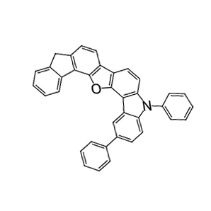 c1ccc(-c2ccc3c(c2)c2c4oc5c6c(ccc5c4ccc2n3-c2ccccc2)Cc2ccccc2-6)cc1